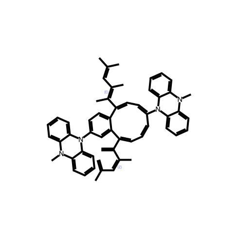 C=C(C)/C=C(/C)C(=C)c1cccc(N2c3ccccc3N(C)c3ccccc32)ccc(/C(C)=C(\C)C=C(C)C)c2ccc(N3c4ccccc4N(C)c4ccccc43)cc12